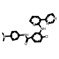 CN(C)c1ccc(NC(=O)c2ccc(Cl)c(Nc3ncccc3-c3ccncn3)c2)cc1